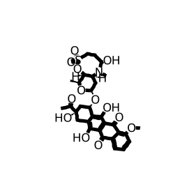 COc1cccc2c1C(=O)c1c(O)c3c(c(O)c1C2=O)C[C@@](O)(C(C)=O)C[C@@H]3O[C@H]1C[C@H]2[C@H](OS(=O)(=O)CCC(O)N2C)[C@H](C)O1